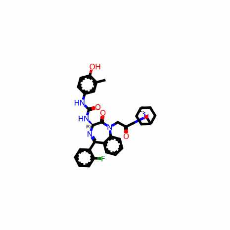 Cc1cc(NC(=O)N[C@@H]2N=C(c3ccccc3F)c3ccccc3N(CC(=O)N3CC4CCC(CC4)C3)C2=O)ccc1O